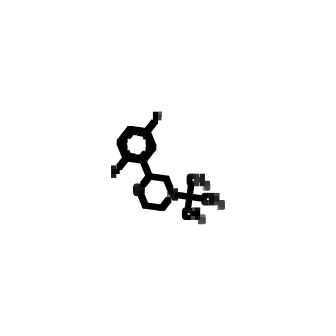 CC(C)(C)N1CCOC(c2cc(F)ccc2F)C1